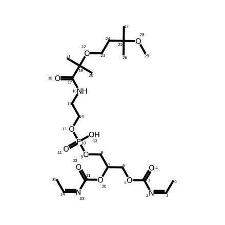 C/C=N\C(=O)OCC(COP(=O)(O)OCCNC(=O)C(C)(C)OCCC(C)(C)OC)OC(=O)/N=C\C